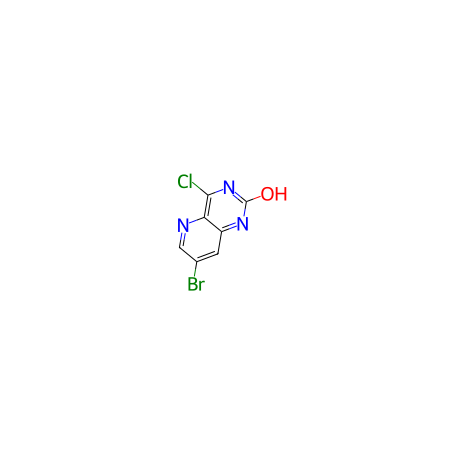 Oc1nc(Cl)c2ncc(Br)cc2n1